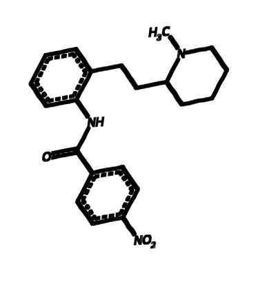 CN1CCCCC1CCc1ccccc1NC(=O)c1ccc([N+](=O)[O-])cc1